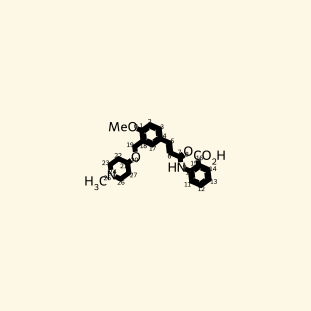 COc1ccc(/C=C/C(=O)Nc2ccccc2C(=O)O)cc1COC1CCN(C)CC1